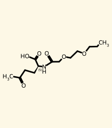 CCCOCCOCC(=O)N[C@@H](CCC(C)=O)C(=O)O